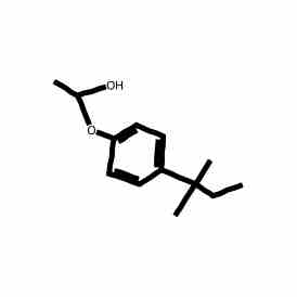 CCC(C)(C)c1ccc(OC(C)O)cc1